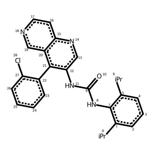 CC(C)c1cccc(C(C)C)c1NC(=O)Nc1cnc2ccncc2c1-c1ccccc1Cl